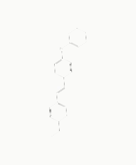 CCC1C=CC(/C=C/C2C=CC(NC3=CCCCC3)=CC2)=CC1